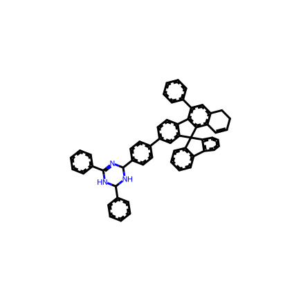 C1=Cc2c(cc(-c3ccccc3)c3c2C2(c4ccccc4-c4ccccc42)c2cc(-c4ccc(C5N=C(c6ccccc6)NC(c6ccccc6)N5)cc4)ccc2-3)CC1